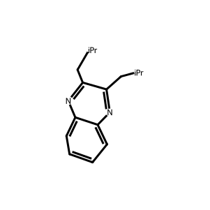 CC(C)Cc1nc2ccccc2nc1CC(C)C